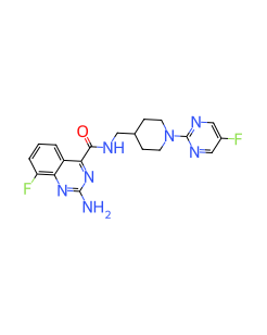 Nc1nc(C(=O)NCC2CCN(c3ncc(F)cn3)CC2)c2cccc(F)c2n1